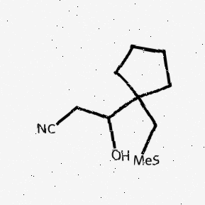 CSCC1(C(O)CC#N)CCCC1